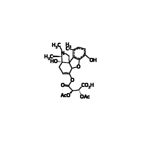 CC(=O)O[C@@H](C(=O)O)[C@@H](OC(C)=O)C(=O)OC1=CC[C@@]2(O)[C@@H](C)N(C)CCC23c2c(C)ccc(O)c2OC13